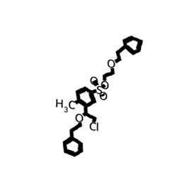 Cc1ccc(S(=O)(=O)OCCOCCc2ccccc2)cc1C(CCl)OCCc1ccccc1